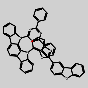 c1ccc(-c2nc(-c3ccccc3)nc(-n3c4ccccc4c4ccc5c6ccccc6n(-c6cccc7nc(-c8ccc9oc%10ccccc%10c9c8)oc67)c5c43)n2)cc1